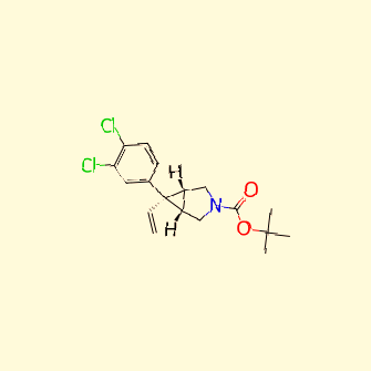 C=C[C@]1(c2ccc(Cl)c(Cl)c2)[C@@H]2CN(C(=O)OC(C)(C)C)C[C@@H]21